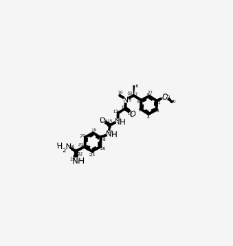 COc1cccc([C@H](C)N(C)C(=O)CNC(=O)Nc2ccc(C(=N)N)cc2)c1